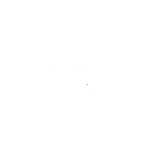 Cc1nc(-c2cccc(NC(=O)N3CCc4c(cnc(C)c4C)C3)c2)no1